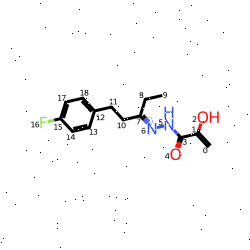 C=C(O)C(=O)N/N=C(\CC)CCc1ccc(F)cc1